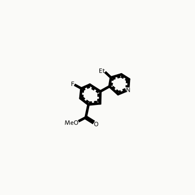 CCc1ccncc1-c1cc(F)cc(C(=O)OC)c1